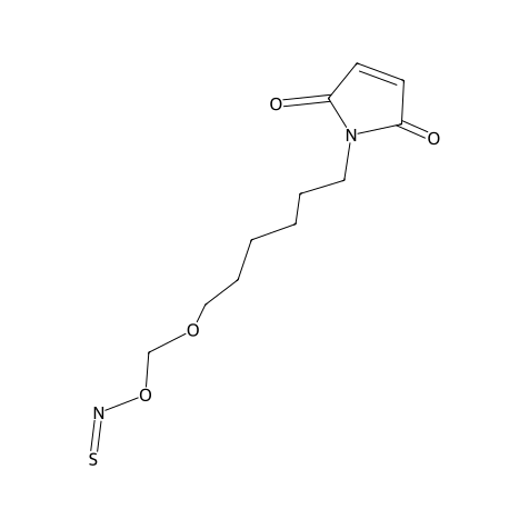 O=C1C=CC(=O)N1CCCCCCOCON=S